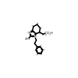 CC(C)c1nc2c(n1CCc1ccccc1)C(CC(=O)O)CCC2